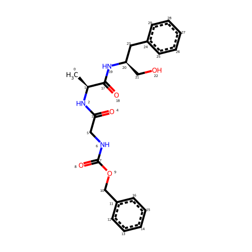 C[C@H](NC(=O)CNC(=O)OCc1ccccc1)C(=O)N[C@H](CO)Cc1ccccc1